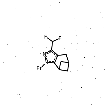 CCn1nc(C(F)F)c2c1C1CC(C2)C1